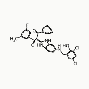 Cc1cc(F)cc(C(=O)C(C(=O)c2ccccc2)=C2Nc3ccc(NCc4cc(Cl)cc(Cl)c4O)cc3N2)c1